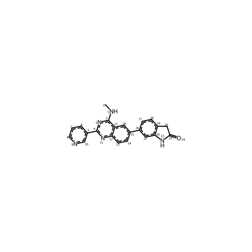 CNc1nc(-c2cccnc2)nc2ccc(-c3ccc4c(c3)NC(=O)C4)cc12